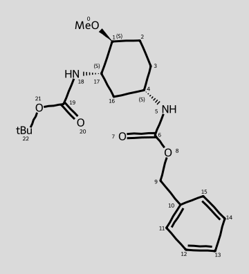 CO[C@H]1CC[C@H](NC(=O)OCc2ccccc2)C[C@@H]1NC(=O)OC(C)(C)C